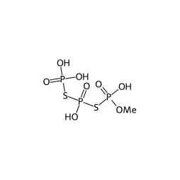 COP(=O)(O)SP(=O)(O)SP(=O)(O)O